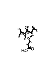 CC(C)[C@H](CSCCC(=O)O)C(=O)N(C)C(C)C